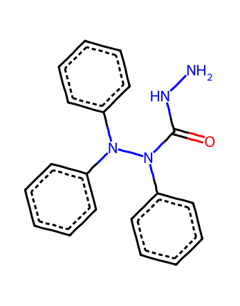 NNC(=O)N(c1ccccc1)N(c1ccccc1)c1ccccc1